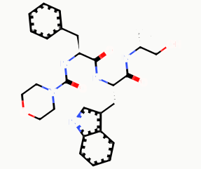 O=C(O)[C@H](CO)NC(=O)[C@H](Cc1c[nH]c2ccccc12)NC(=O)[C@H](Cc1ccccc1)NC(=O)N1CCOCC1